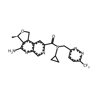 C[C@H]1OCc2c1c(N)nc1cnc(C(=O)N(Cc3ccc(C(F)(F)F)nn3)C3CC3)cc21